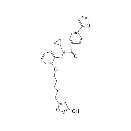 O=C(c1ccc(-c2ccco2)cc1)N(Cc1ccccc1OCCCCCc1cc(O)no1)C1CC1